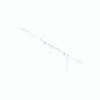 CCCCCCCCCCCCCC(=O)CCC(=O)OCCN(CCO)CCCCCCCC(=O)OC(CCCCCCCC)CCCCCCCC